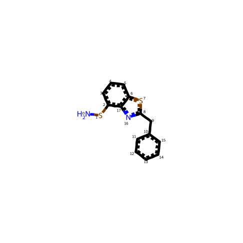 NSc1cccc2sc(Cc3ccccc3)nc12